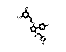 CN(Cc1nc[nH]n1)C1CCC(OCCc2cc(C(F)(F)F)cc(C(F)(F)F)c2)C1c1ccc(F)cc1